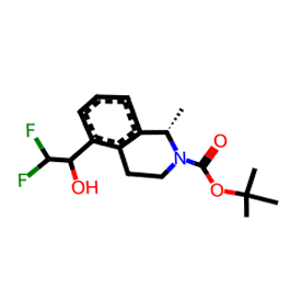 C[C@H]1c2cccc(C(O)C(F)F)c2CCN1C(=O)OC(C)(C)C